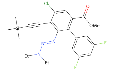 CCN(CC)N=Nc1c(C#C[Si](C)(C)C)c(Cl)cc(C(=O)OC)c1-c1cc(F)cc(F)c1